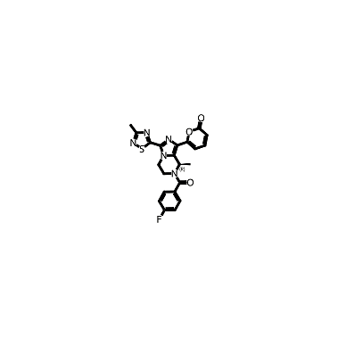 Cc1nsc(-c2nc(-c3cccc(=O)o3)c3n2CCN(C(=O)c2ccc(F)cc2)[C@@H]3C)n1